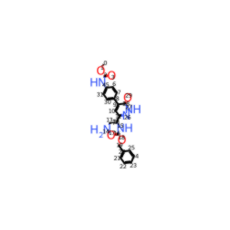 COC(=O)Nc1ccc(-c2cc([C@H](CN)NC(=O)OCc3ccccc3)n[nH]c2=O)cc1